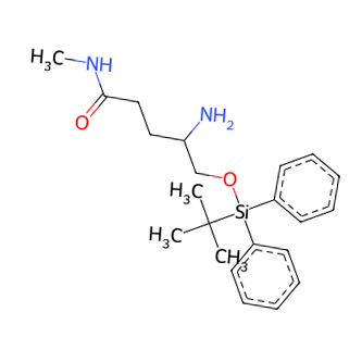 CNC(=O)CCC(N)CO[Si](c1ccccc1)(c1ccccc1)C(C)(C)C